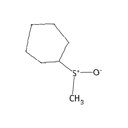 C[S+]([O-])C1CCCCC1